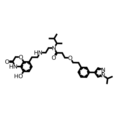 CC(C)C(C)N(CCNCCc1ccc(O)c2c1OCC(=O)N2)C(=O)CCOCCc1cccc(-c2cnn(C(C)C)c2)c1